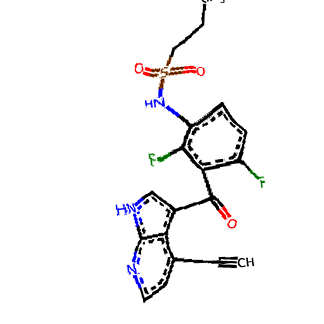 C#Cc1ccnc2[nH]cc(C(=O)c3c(F)ccc(NS(=O)(=O)CCC)c3F)c12